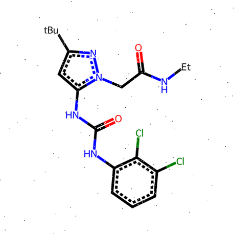 CCNC(=O)Cn1nc(C(C)(C)C)cc1NC(=O)Nc1cccc(Cl)c1Cl